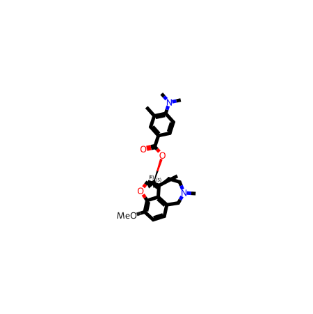 COc1ccc2c3c1OC1C[C@@H](OC(=O)c4ccc(N(C)C)c(C)c4)C(C)[C@@]31CCN(C)C2